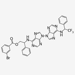 O=C(OCC(Nc1ncnc2c1ncn2-n1cnc2c(NC(c3ccccc3)C(F)(F)F)ncnc21)c1ccccc1)c1cccc(Br)c1